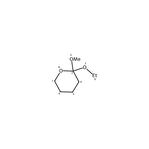 CCOC1(OC)CCCCO1